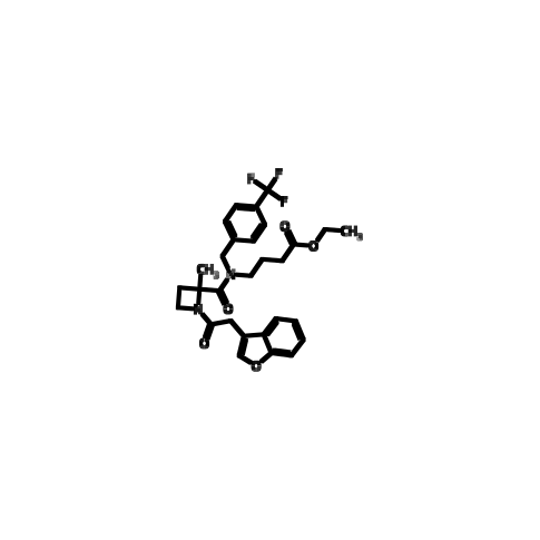 CCOC(=O)CCCN(Cc1ccc(C(F)(F)F)cc1)C(=O)C1(C)CCN1C(=O)Cc1coc2ccccc12